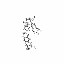 CCN(CC)C(C)c1cc(C2CCc3ccc(CC(C)C(=O)O)cc3O2)ccc1-c1cc(OC)ncc1F